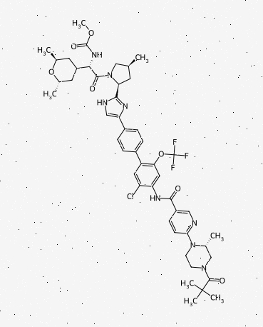 COC(=O)N[C@H](C(=O)N1C[C@@H](C)C[C@H]1c1nc(-c2ccc(-c3cc(Cl)c(NC(=O)c4ccc(N5CCN(C(=O)C(C)(C)C)C[C@H]5C)nc4)cc3OC(F)(F)F)cc2)c[nH]1)C1C[C@H](C)O[C@@H](C)C1